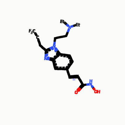 CCN(CC)CCn1c(CCC(F)(F)F)nc2cc(/C=C/C(=O)NO)ccc21